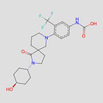 O=C(O)Nc1ccc(N2CCCC3(CCN([C@H]4CC[C@H](O)CC4)C3=O)C2)c(C(F)(F)F)c1